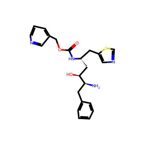 N[C@@H](Cc1ccccc1)[C@@H](O)C[C@@H](Cc1cncs1)NC(=O)OCc1cccnc1